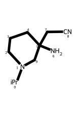 CC(C)N1CCCC(N)(CC#N)C1